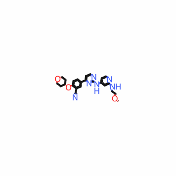 COCCNc1cc(Nc2nccc(-c3ccc(OC4CCOCC4)c(C#N)c3)n2)ccn1